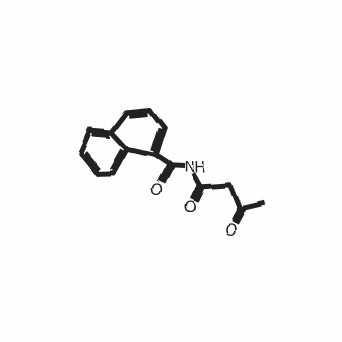 CC(=O)CC(=O)NC(=O)c1cccc2ccccc12